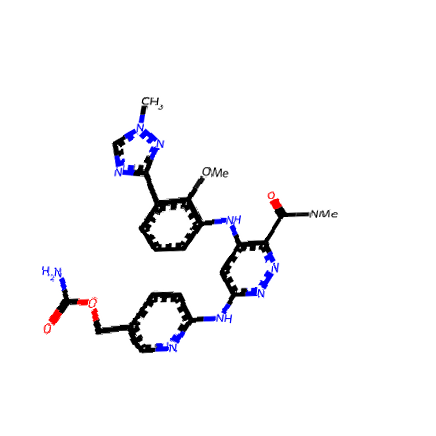 CNC(=O)c1nnc(Nc2ccc(COC(N)=O)cn2)cc1Nc1cccc(-c2ncn(C)n2)c1OC